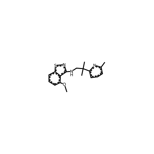 COc1cccc2snc(NCC(C)(C)c3cccc(C)n3)c12